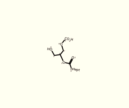 CCCCCCCC(=O)OC(CO)COC(=O)O